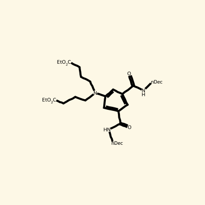 CCCCCCCCCCNC(=O)c1cc(C(=O)NCCCCCCCCCC)cc(N(CCCC(=O)OCC)CCCC(=O)OCC)c1